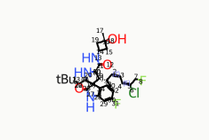 CC(/C=C\C=C(\Cl)CF)[C@H]1[C@H](C(=O)N[C@H]2C[C@@](C)(O)C2)N[C@H](CC(C)(C)C)[C@]12C(=O)Nc1cc(F)ccc12